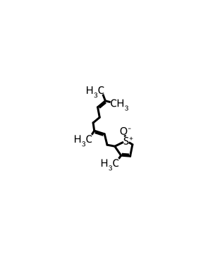 CC(C)=CCC/C(C)=C/CC1C(C)=CC[S+]1[O-]